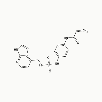 C=CC(=O)Nc1ccc(NS(=O)(=O)NCc2ccnc3[nH]ccc23)cc1